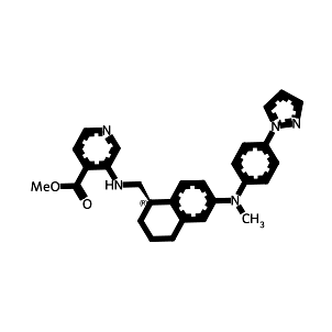 COC(=O)c1ccncc1NC[C@@H]1CCCc2cc(N(C)c3ccc(-n4cccn4)cc3)ccc21